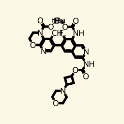 Cc1c(-c2cc3cc(NC(=O)OC4CC(N5CCOCC5)C4)ncc3c(NC(=O)OC(C)(C)C)c2F)cnc2c1N(C(=O)OC(C)(C)C)CCO2